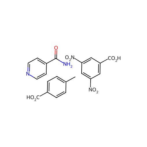 Cc1ccc(C(=O)O)cc1.NC(=O)c1ccncc1.O=C(O)c1cc([N+](=O)[O-])cc([N+](=O)[O-])c1